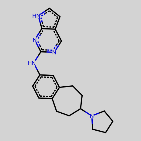 c1cc2cnc(Nc3ccc4c(c3)CCC(N3CCCC3)CC4)nc2[nH]1